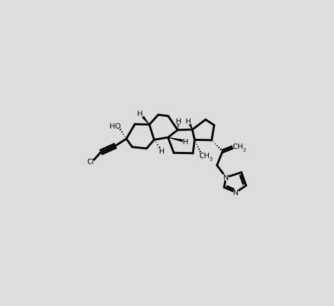 C=C(Cn1ccnc1)[C@H]1CC[C@H]2[C@@H]3CC[C@H]4C[C@](O)(C#CCl)CC[C@@H]4[C@H]3CC[C@]12C